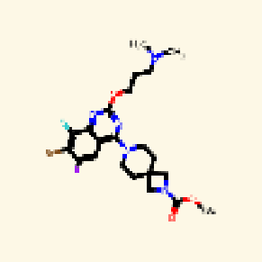 CN(C)CCCOc1nc(N2CCC3(CC2)CN(C(=O)OC(C)(C)C)C3)c2cc(I)c(Br)c(F)c2n1